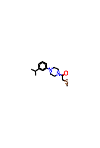 CSCC(=O)N1CCN(c2cccc(C(C)C)c2)CC1